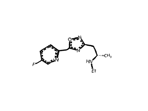 CCN[C@@H](C)Cc1noc(-c2ccc(F)cn2)n1